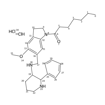 CCCCCCC(=O)N1CCc2cc(OC)c(CNC3CCCNC3c3ccccc3)cc21.Cl.Cl